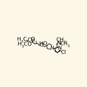 CN(C)Cc1nc(Cl)ccc1N1CCC(O)(COCCCC(=O)OC(C)(C)C)CC1